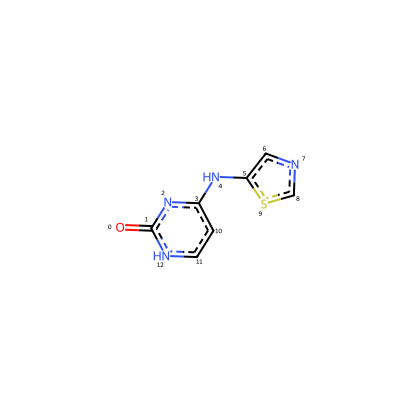 O=c1nc(Nc2cncs2)cc[nH]1